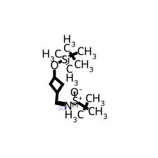 CC(C)(C)[S@+]([O-])/N=C\C1CC(O[Si](C)(C)C(C)(C)C)C1